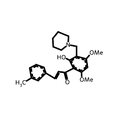 COc1cc(OC)c(C(=O)/C=C/c2cccc(C)c2)c(O)c1CN1CCCCC1